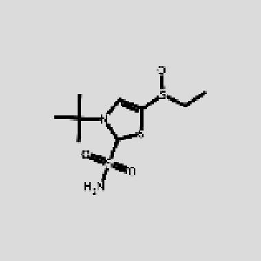 CC[S+]([O-])C1=CN(C(C)(C)C)C(S(N)(=O)=O)S1